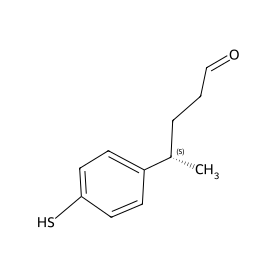 C[C@@H](CCC=O)c1ccc(S)cc1